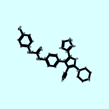 N#Cc1c(N2CCOCC2)sc(-c2nc[nH]n2)c1-c1ccc(NC(=O)Nc2ccc(Cl)cc2)cc1